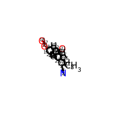 C[C@H](CC#N)[C@H]1CC[C@H]2[C@@H]3C(=O)C[C@@H]4C[C@H](OC=O)CC[C@]4(C)[C@H]3CC[C@]12C